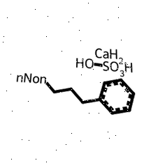 CCCCCCCCCCCCc1ccccc1.O=S(=O)(O)O.[CaH2]